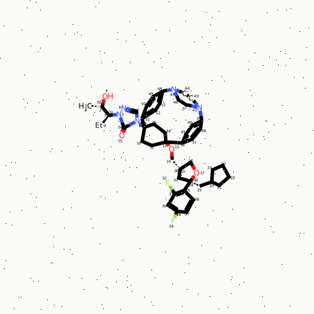 CC[C@@H]([C@H](C)O)n1ncn(C23CCC(OC[C@@H]4CO[C@@](CC5CCCC5)(c5ccc(F)cc5F)C4)(CC2)c2ccc(cc2)N2CCN(CC2)c2ccc3cc2)c1=O